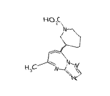 Cc1cc(C2CCCN(C(=O)O)C2)n2ncnc2n1